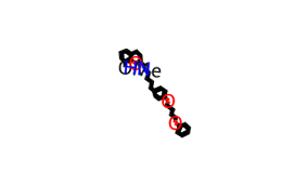 COc1cccc2c1O[C@@H](CNCCCCc1ccc(OCCCCOc3ccccc3)cc1)CC2